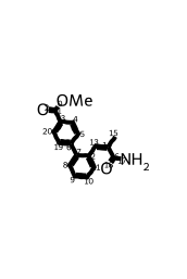 COC(=O)c1ccc(-c2ccccc2C=C(C)C(N)=O)cc1